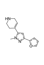 Cn1nc(-c2ccco2)cc1C1=CCNCC1